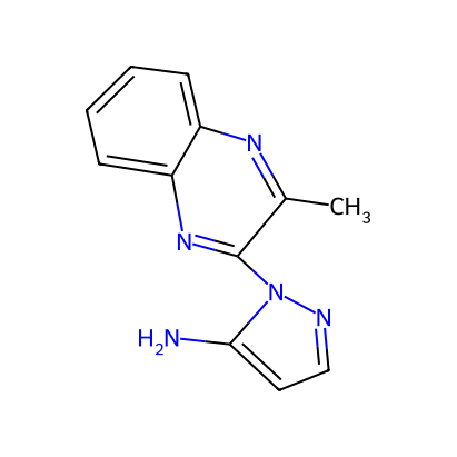 Cc1nc2ccccc2nc1-n1nccc1N